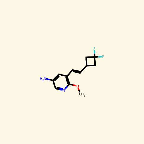 COc1ncc(N)cc1C=CC1CC(F)(F)C1